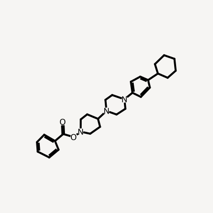 O=C(ON1CCC(N2CCN(c3ccc(C4CCCCC4)cc3)CC2)CC1)c1ccccc1